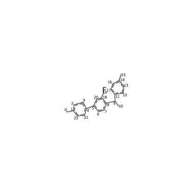 Cc1ccc(-c2ccc(C(C)c3ccc(C)cc3)c(F)c2)cc1